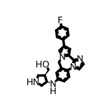 OC[C@@H]1CNC[C@H]1Nc1ccc2c(c1)Cn1cc(-c3ccc(F)cc3)cc1-c1nccn1-2